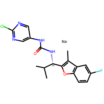 Cc1c([C@@H](NC(=O)Nc2cnc(Cl)nc2)C(C)C)oc2ccc(F)cc12.[Na]